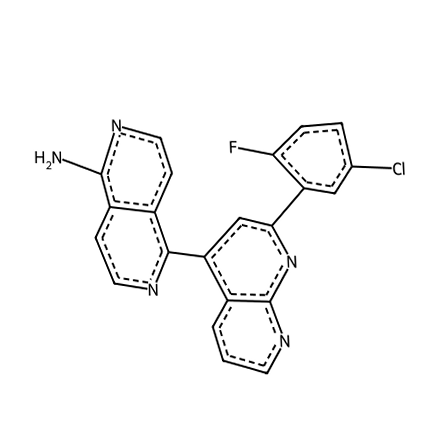 Nc1nccc2c(-c3cc(-c4cc(Cl)ccc4F)nc4ncccc34)nccc12